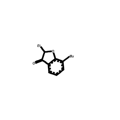 CCC1Oc2c(cccc2C(C)CC)C1=O